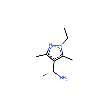 CCn1nc(C)c([C@@H](C)N)c1C